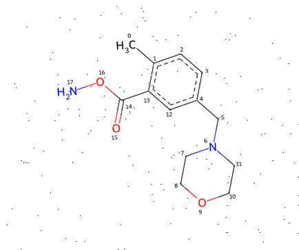 Cc1ccc(CN2CCOCC2)cc1C(=O)ON